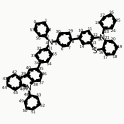 c1ccc(N(c2ccc(-c3ccc4c(c3)Sc3ccccc3N4c3ccccc3)cc2)c2ccc(-c3ccc4c(c3)c3ccccc3n4-c3ccccc3)cc2)cc1